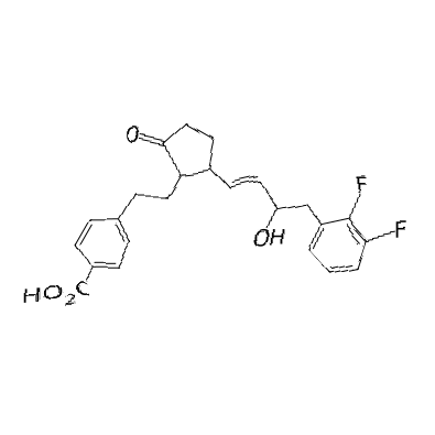 O=C(O)c1ccc(CCC2C(=O)CCC2/C=C/C(O)Cc2cccc(F)c2F)cc1